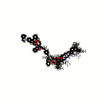 CC[C@H](NC(=O)[C@H](CC1CCCCC1)NC(=O)c1ccc(CCNC(=O)C2CCN(S(=O)(=O)c3ccccc3-c3c4cc/c(=[N+]5/CCc6ccccc65)cc-4oc4cc(N5CCc6ccccc65)ccc34)CC2)cc1)C(=O)NCCNC(=O)CCCCCN1\C(=C/C=C/C=C/C2=[N+](CC)c3ccc4c(S(=O)(=O)O)cc(S(=O)(=O)O)cc4c3C2(C)C)C(C)(C)c2c1ccc1c(S(=O)(=O)O)cc(S(=O)(=O)O)cc21